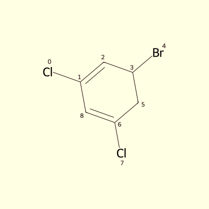 ClC1=CC(Br)CC(Cl)=C1